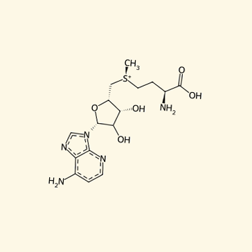 C[S@@+](CC[C@H](N)C(=O)O)C[C@H]1O[C@@H](n2cnc3c(N)ccnc32)C(O)[C@H]1O